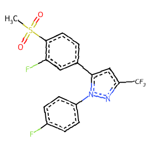 CS(=O)(=O)c1ccc(-c2cc(C(F)(F)F)nn2-c2ccc(F)cc2)cc1F